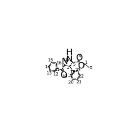 CCOC(=O)C1NN=C(C(=O)c2ccccc2)C1c1ccccc1